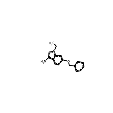 CCn1cc(N)c2ccc(OCc3ccccc3)cc21